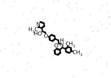 Cc1ccc(C(NC(=O)Cc2ccc(OCC(O)c3cccnc3C)cc2)c2ccccc2)c(C)c1